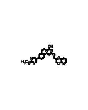 COc1ncc(-c2ccc3c(c2)CCN2C3=CC(OCC3COc4ncccc4O3)=NC2O)cn1